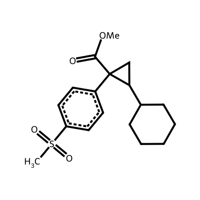 COC(=O)C1(c2ccc(S(C)(=O)=O)cc2)CC1C1CCCCC1